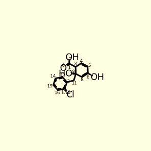 O=C(O)C1C=CC(O)=CC1(O)Cc1ccccc1Cl